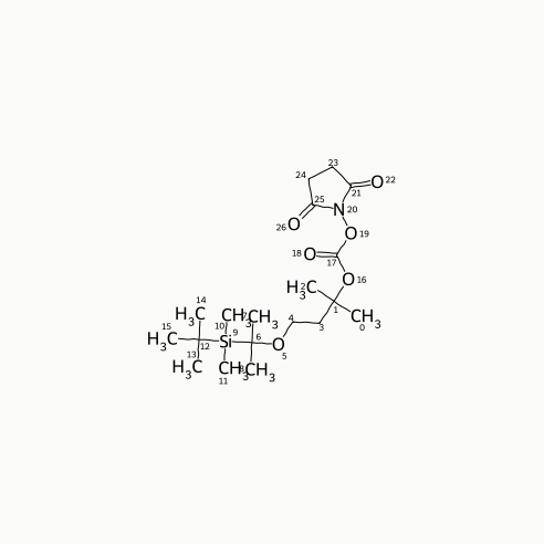 CC(C)(CCOC(C)(C)[Si](C)(C)C(C)(C)C)OC(=O)ON1C(=O)CCC1=O